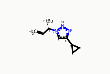 C=C[C@@H](n1cc(C2CC2)nn1)C(C)(C)C